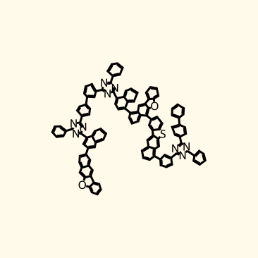 c1ccc(-c2ccc(-c3nc(-c4ccccc4)nc(-c4cccc(-c5cccc6cc7c(cc56)sc5ccc(-c6c8cccc(-c9ccc(-c%10nc(-c%11ccccc%11)nc(-c%11cccc(-c%12ccc(-c%13nc(-c%14ccccc%14)nc(-c%14cc(-c%15ccc%16cc%17oc%18ccccc%18c%17cc%16c%15)cc%15ccccc%14%15)n%13)cc%12)c%11)n%10)c%10ccccc9%10)c8cc8c6oc6ccccc68)cc57)c4)n3)cc2)cc1